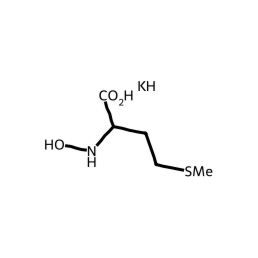 CSCCC(NO)C(=O)O.[KH]